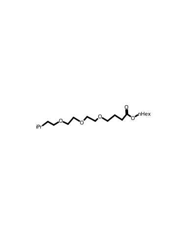 CCCCCCOC(=O)CCCOCCOCCOCCC(C)C